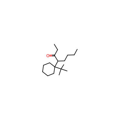 CCCCC(C(=O)CC)C1(C(C)(C)C)CCCCC1